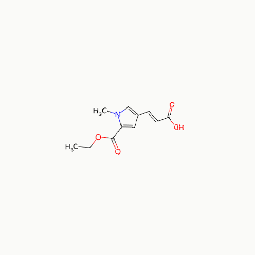 CCOC(=O)c1cc(C=CC(=O)O)cn1C